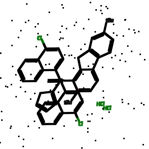 Cl.Cl.[CH2]=[Zr]([C]1=CC=CC1)([c]1c(C(C)(C)C)ccc2c1Cc1cc(C(C)(C)C)ccc1-2)([c]1ccc(Cl)c2ccccc12)[c]1ccc(Cl)c2ccccc12